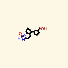 O=c1[nH]nc2ccc3c(-c4cccc(CO)c4)cccc3n12